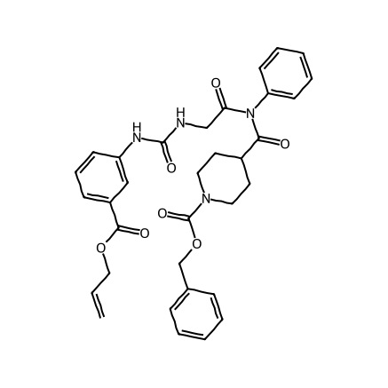 C=CCOC(=O)c1cccc(NC(=O)NCC(=O)N(C(=O)C2CCN(C(=O)OCc3ccccc3)CC2)c2ccccc2)c1